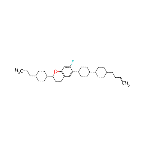 C=CCCC1CCC(C2CCC(c3cc4c(cc3F)OC(C3CCC(CCC)CC3)CC4)CC2)CC1